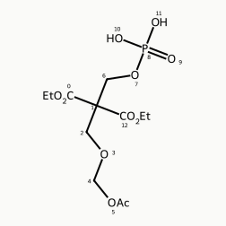 CCOC(=O)C(COCOC(C)=O)(COP(=O)(O)O)C(=O)OCC